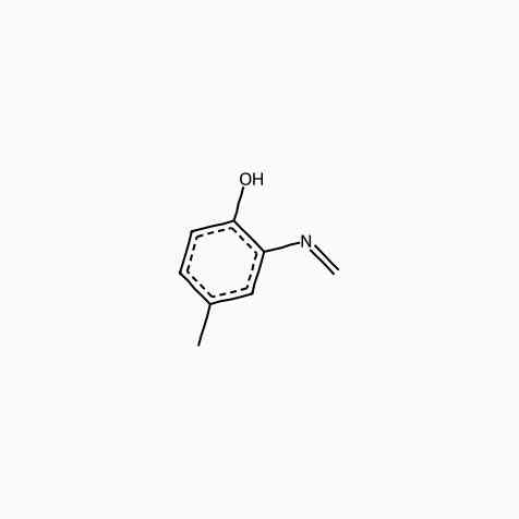 C=Nc1cc(C)ccc1O